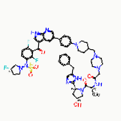 CC(C)(C)[C@H](NC(=O)CN1CCN(CC2CCN(c3ccc(-c4cnc5[nH]cc(C(=O)c6c(F)ccc(N(N7CC[C@@H](F)C7)[SH](=O)=O)c6F)c5c4)cc3)CC2)CC1)C(=O)N1C[C@H](O)C[C@H]1c1ncc(Cc2ccccc2)[nH]1